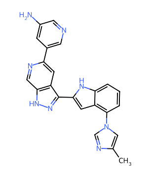 Cc1cn(-c2cccc3[nH]c(-c4n[nH]c5cnc(-c6cncc(N)c6)cc45)cc23)cn1